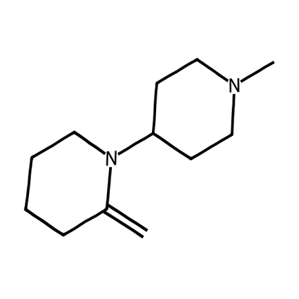 C=C1CCCCN1C1CCN(C)CC1